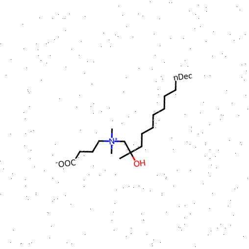 CCCCCCCCCCCCCCCCCC(C)(O)C[N+](C)(C)CCCC(=O)[O-]